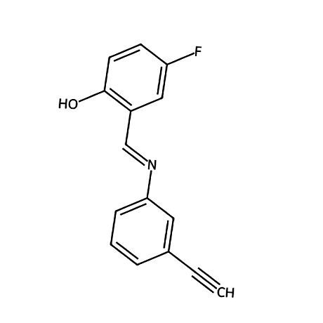 C#Cc1cccc(/N=C/c2cc(F)ccc2O)c1